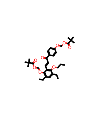 CCCOc1c(CC)cc(CC)c(OCOC(=O)C(C)(C)C)c1C=CC(=O)c1ccc(OCOC(=O)C(C)(C)C)cc1